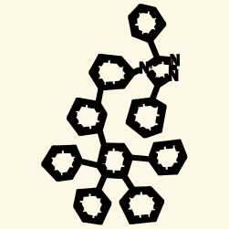 c1ccc(-c2cc(-c3cccc(-c4cccc(-n5c(-c6ccccc6)nnc5-c5ccccc5)c4)c3)c(-c3ccccc3)c(-c3ccccc3)c2-c2ccccc2)cc1